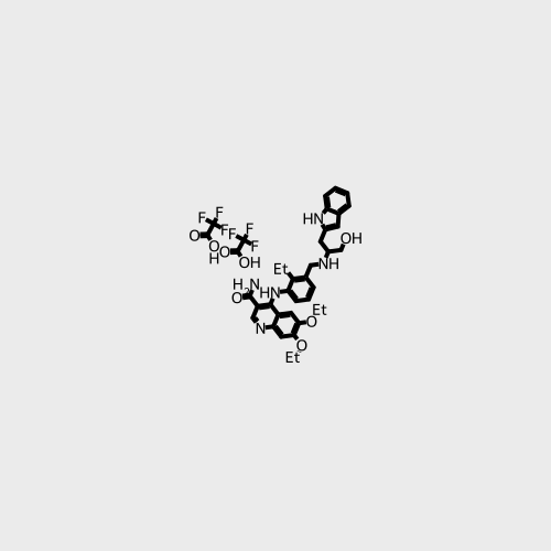 CCOc1cc2ncc(C(N)=O)c(Nc3cccc(CNC(CO)Cc4cc5ccccc5[nH]4)c3CC)c2cc1OCC.O=C(O)C(F)(F)F.O=C(O)C(F)(F)F